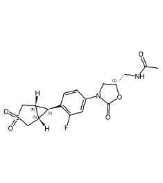 CC(=O)NC[C@H]1CN(c2ccc([C@H]3[C@@H]4CS(=O)(=O)C[C@@H]43)c(F)c2)C(=O)O1